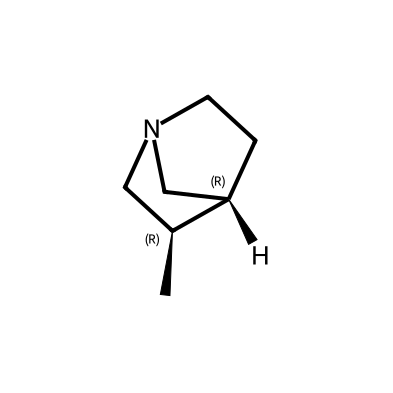 C[C@H]1CN2CC[C@H]1C2